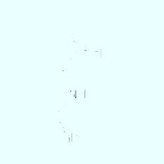 CCCCNCC(F)F